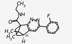 CCNC(=O)C12CC[C@H](c3cc(-c4ccccc4F)nnc31)C2(C)C